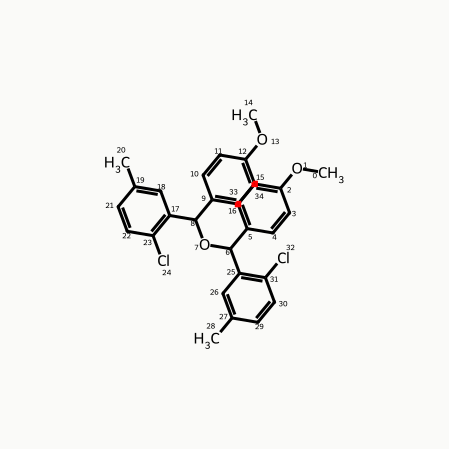 COc1ccc(C(OC(c2ccc(OC)cc2)c2cc(C)ccc2Cl)c2cc(C)ccc2Cl)cc1